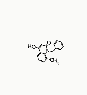 Cc1cccc2c(O)cc(=O)n(Cc3ccccc3)c12